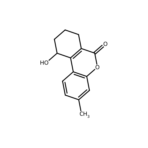 Cc1ccc2c3c(c(=O)oc2c1)CCCC3O